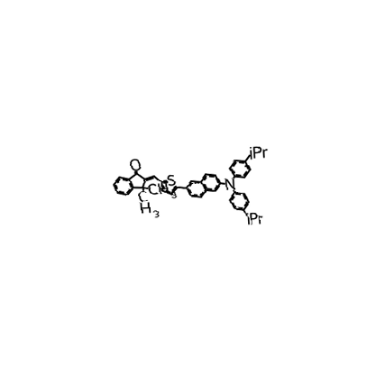 CC(C)c1ccc(N(c2ccc(C(C)C)cc2)c2ccc3cc(-c4ccc(/C=C5/C(=O)c6ccccc6C5(C)C)s4)ccc3c2)cc1